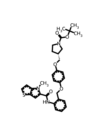 Cn1c(C(=O)Nc2ccccc2COc2ccc(OC[C@@H]3CCN(C(=O)OC(C)(C)C)C3)cc2)cc2sccc21